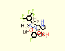 Cc1cc(F)ccc1[C@H]1C[C@@]2(CCN1C(=O)N(C)[C@H](C)c1cc(C(F)(F)F)cc(C(F)(F)F)c1)NCC[C@@H]2C(=O)O.[LiH]